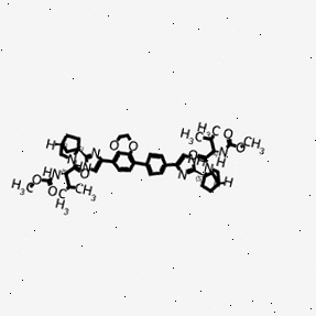 COC(=O)N[C@H](C(=O)N1C[C@@H]2CC[C@@]1(c1nc(-c3ccc(-c4ccc(-c5c[nH]c([C@@]67CC[C@@H](CN6C(=O)[C@@H](NC(=O)OC)C(C)C)C7)n5)c5c4OCCO5)cc3)c[nH]1)C2)C(C)C